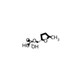 CC1CC[C@@H](COP(=O)(O)O)O1